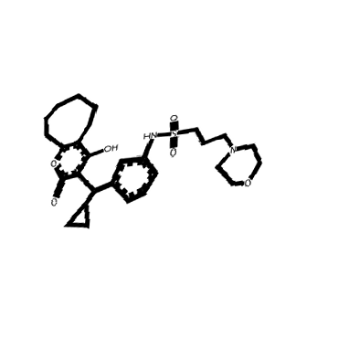 O=c1oc2c(c(O)c1C(c1cccc(NS(=O)(=O)CCCN3CCOCC3)c1)C1CC1)CCCCCC2